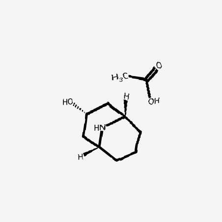 CC(=O)O.O[C@H]1C[C@H]2CCC[C@@H](C1)N2